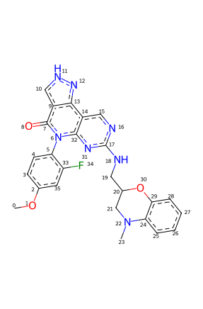 COc1ccc(-n2c(=O)c3c[nH]nc3c3cnc(NCC4CN(C)c5ccccc5O4)nc32)c(F)c1